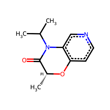 CC(C)N1C(=O)[C@@H](C)Oc2ccncc21